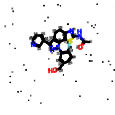 CC(=O)Nc1nc2c(s1)-c1c(c(-c3cccnc3)nn1-c1cc(CO)ccc1F)CC2